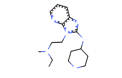 CCN(CCn1c(NC2CCNCC2)nc2cccnc21)CC(=O)O